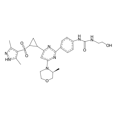 Cc1n[nH]c(C)c1S(=O)(=O)C1CC1c1cc(N2CCOC[C@@H]2C)nc(-c2ccc(NC(=O)NCCO)cc2)n1